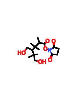 CC(C(=O)ON1C(=O)CCC1=O)C(C)(C)C(CO)C(C)(C)CO